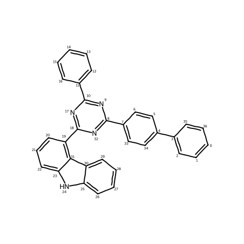 c1ccc(-c2ccc(-c3nc(-c4ccccc4)nc(-c4cccc5[nH]c6ccccc6c45)n3)cc2)cc1